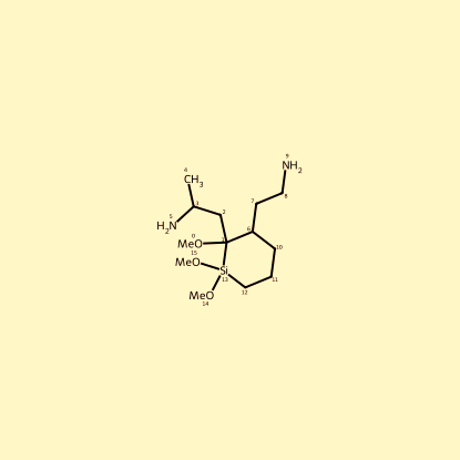 COC1(CC(C)N)C(CCN)CCC[Si]1(OC)OC